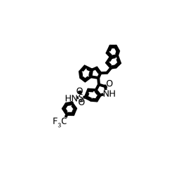 O=C1Nc2ccc(S(=O)(=O)Nc3ccc(C(F)(F)F)cc3)cc2C1C1C(Cc2ccc3ccccc3c2)=Cc2ccccc21